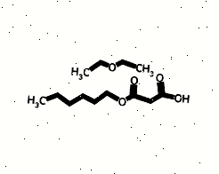 CCCCCCOC(=O)CC(=O)O.CCOCC